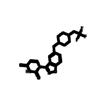 O=c1ccn(-c2noc3ccc(CC4CCN(CC(F)(F)F)CC4)cc23)c(=O)[nH]1